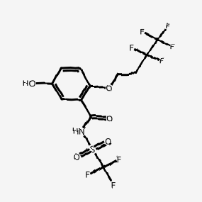 O=C(NS(=O)(=O)C(F)(F)F)c1cc(O)ccc1OCCC(F)(F)C(F)(F)F